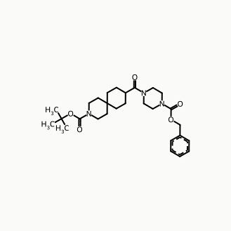 CC(C)(C)OC(=O)N1CCC2(CCC(C(=O)N3CCN(C(=O)OCc4ccccc4)CC3)CC2)CC1